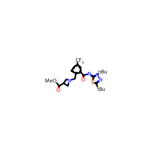 CCCCn1nc(C(C)(C)C)s/c1=N\C(=O)c1cc(C(F)(F)F)ccc1CN1CC(C(=O)OC)C1